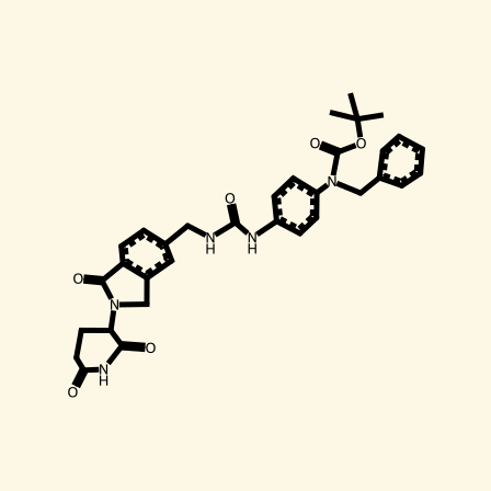 CC(C)(C)OC(=O)N(Cc1ccccc1)c1ccc(NC(=O)NCc2ccc3c(c2)CN(C2CCC(=O)NC2=O)C3=O)cc1